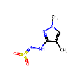 Cc1cn(C)nc1NN=S(=O)=O